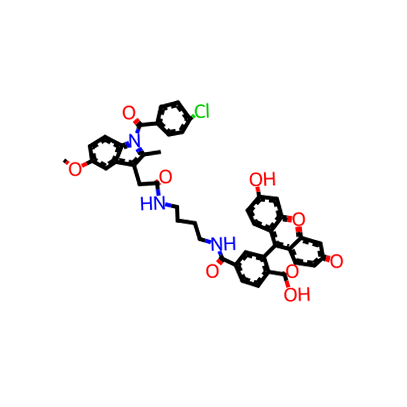 COc1ccc2c(c1)c(CC(=O)NCCCCNC(=O)c1ccc(C(=O)O)c(-c3c4ccc(=O)cc-4oc4cc(O)ccc34)c1)c(C)n2C(=O)c1ccc(Cl)cc1